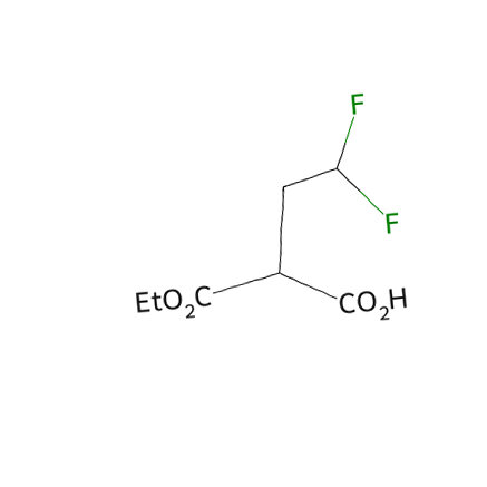 CCOC(=O)C(CC(F)F)C(=O)O